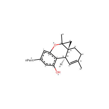 CCCCCc1cc(O)c2c(c1)OC1(C)C[C@]13CCC(C)=C[C@@H]23